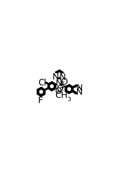 COc1cc(-c2cccc(F)c2)c(Cl)cc1N(c1ncccn1)S(=O)(=O)c1ccc2cnncc2c1